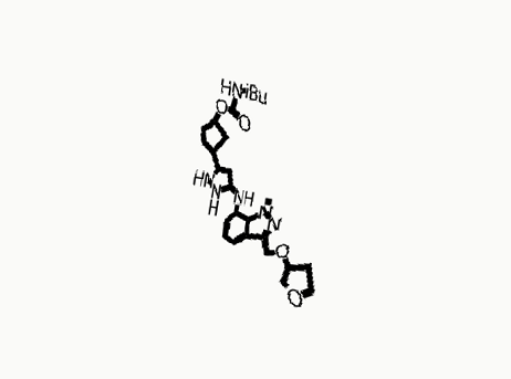 CCC(C)NC(=O)OC1CCC(C2CC(NC3C=CC=C4C(COC5CCOC5)=NN(C)C43)NN2)C1